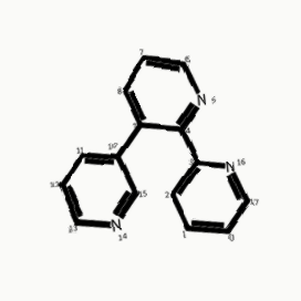 c1ccc(-c2ncccc2-c2cccnc2)nc1